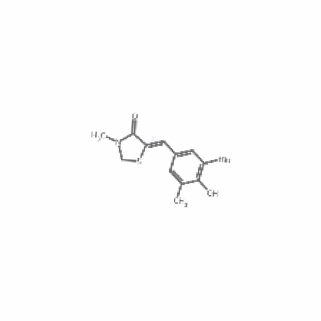 Cc1cc(/C=C2\SCN(C)C2=O)cc(C(C)(C)C)c1O